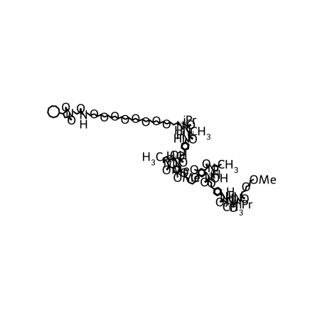 COCCOCCC(=O)N[C@H](C(=O)N[C@@H](C)C(=O)Nc1ccc(COC(=O)N2c3cc(OCCCCCOc4cc5c(cc4OC)C(=O)N4C=C(C)C[C@H]4[C@H](O)N5C(=O)OCc4ccc(NC(=O)[C@H](C)NC(=O)[C@@H](NCCCOCCOCCOCCOCCOCCOCCOCCOCCNC(=O)CCN5C(=O)CC(C6CCCCCCCC6)C5=O)C(C)C)cc4)c(OC)cc3C(=O)N3C=C(C)C[C@H]3[C@@H]2O)cc1)C(C)C